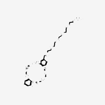 COCCOCCOCCOCCOCCOCc1ccc2c(c1)OCCOCCOc1ccccc1OCCOCCO2